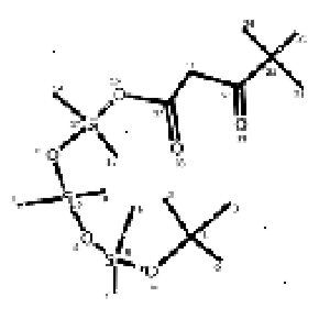 CC(C)(C)O[Si](C)(C)O[Si](C)(C)O[Si](C)(C)OC(=O)CC(=O)C(C)(C)C